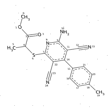 COC(=O)C(C)Sc1nc(N)c(C#N)c(-c2ccc(C)cc2)c1C#N